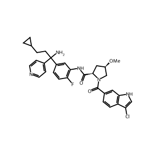 CO[C@@H]1C[C@H](C(=O)Nc2cc(C(N)(CCC3CC3)c3ccncc3)ccc2F)N(C(=O)c2ccc3c(Cl)c[nH]c3c2)C1